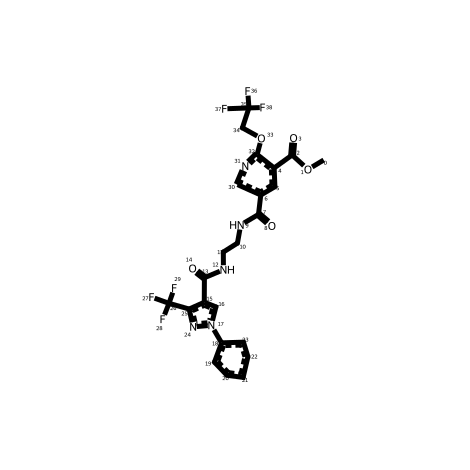 COC(=O)c1cc(C(=O)NCCNC(=O)c2cn(-c3ccccc3)nc2C(F)(F)F)cnc1OCC(F)(F)F